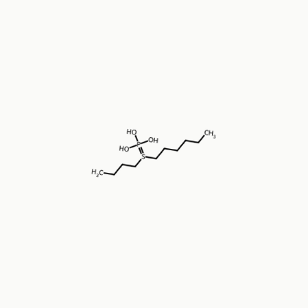 CCCCCCS(CCCC)=P(O)(O)O